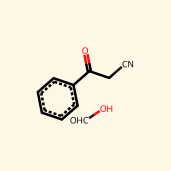 N#CCC(=O)c1ccccc1.O=CO